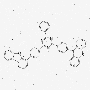 c1ccc(-c2nc(-c3ccc(-c4cccc5c4oc4ccccc45)cc3)nc(-c3ccc(N4c5ccccc5Sc5ccccc54)cc3)n2)cc1